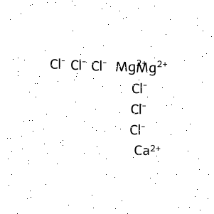 [Ca+2].[Cl-].[Cl-].[Cl-].[Cl-].[Cl-].[Cl-].[Mg+2].[Mg+2]